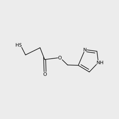 O=C(CCS)OCc1c[nH]cn1